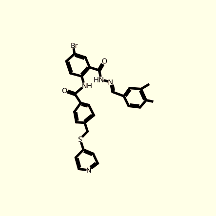 Cc1ccc(C=NNC(=O)c2cc(Br)ccc2NC(=O)c2ccc(CSc3ccncc3)cc2)cc1C